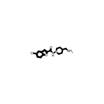 NCC1CCN(NC(=O)c2cc3cc(Cl)ccc3o2)CC1